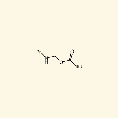 CCC(C)C(=O)OCNC(C)C